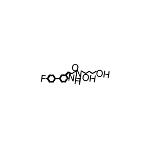 O=C(NCC(O)CCCO)c1cc2cc(-c3ccc(F)cc3)ccc2[nH]1